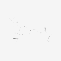 CC(=N)C(=O)NCC(O)CC(S(=O)(=O)C(F)(F)F)S(=O)(=O)C(F)(F)F